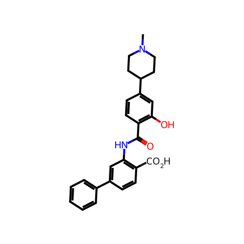 CN1CCC(c2ccc(C(=O)Nc3cc(-c4ccccc4)ccc3C(=O)O)c(O)c2)CC1